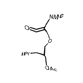 CNC(=O)OC(OC(C)=O)C(C)C